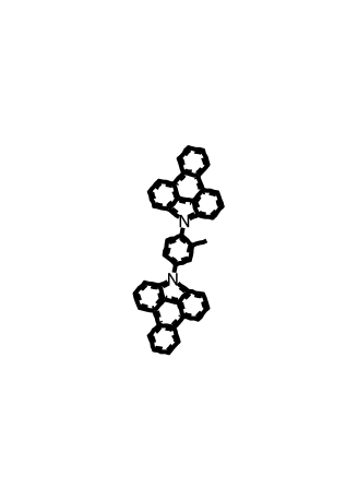 Cc1cc(-n2c3cccc4c5ccccc5c5cccc2c5c43)ccc1-n1c2cccc3c4ccccc4c4cccc1c4c32